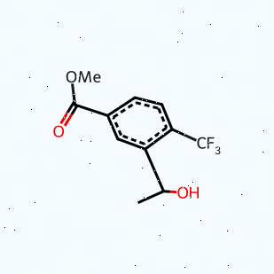 COC(=O)c1ccc(C(F)(F)F)c(C(C)O)c1